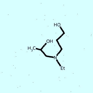 CCN(CCCO)CC(C)O